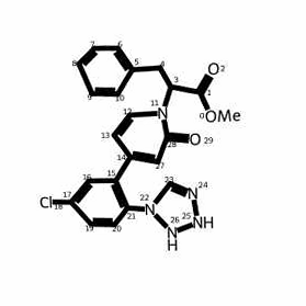 COC(=O)C(Cc1ccccc1)n1ccc(-c2cc(Cl)ccc2N2C=NNN2)cc1=O